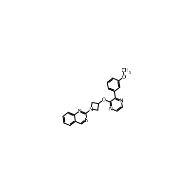 COc1cccc(-c2nccnc2OC2CN(c3ncc4ccccc4n3)C2)c1